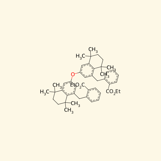 CCOC(=O)c1ccccc1Cc1cc(Oc2cc(Cc3ccccc3C(=O)OCC)c3c(c2)C(C)(C)CCC3(C)C)cc2c1C(C)(C)CCC2(C)C